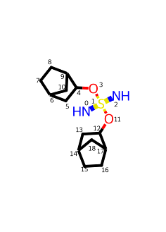 N=S(=N)(OC1CC2CCC1C2)OC1CC2CCC1C2